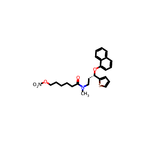 CN(CC[C@H](Oc1cccc2ccccc12)c1cccs1)C(=O)CCCCCO[N+](=O)[O-]